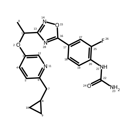 CC(Oc1ccc(CC2CC2)nc1)c1noc(-c2ccc(NC(N)=O)c(F)c2)n1